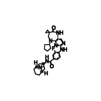 CN1[C@@H]2CCC[C@H]1C[C@@H](NC(=O)c1ccc(Nc3ncc4c(n3)N(C3CCCC3)CC3(CC3)C(=O)N4)c(F)c1)C2